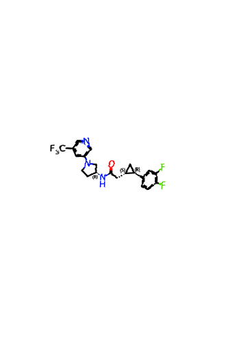 O=C(C[C@@H]1C[C@H]1c1ccc(F)c(F)c1)N[C@@H]1CCN(c2cncc(C(F)(F)F)c2)C1